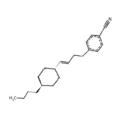 CCCC[C@H]1CC[C@H](C=CCCc2ccc(C#N)cc2)CC1